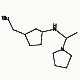 CC(NC1CCC(CC(C)(C)C)C1)N1CCCC1